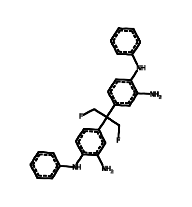 Nc1cc(C(CF)(CF)c2ccc(Nc3ccccc3)c(N)c2)ccc1Nc1ccccc1